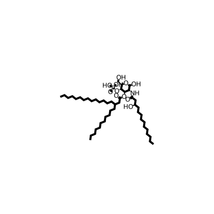 CCCCCCCCCCCCCCC(CCCCCCCCCCC)CC(=O)O[C@H]1[C@H](OP(=O)(O)O)[C@@H](CO)OC(O)[C@@H]1NC(=O)C[C@H](O)CCCCCCCCCCC